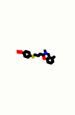 Cc1ccccc1CN(C)C(=O)CCCSc1ccc(O)cc1